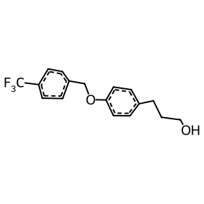 OCCCc1ccc(OCc2ccc(C(F)(F)F)cc2)cc1